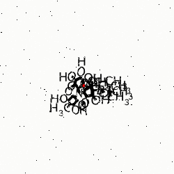 Cc1c(O)c2ooc3c(O)c(O)c(O)c(O)c3n3c4c(O)c(O)c(B5OC(C)(C)C(C)(C)O5)c(O)c4ooc(c1O)c23